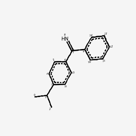 CC(C)c1ccc(C(=N)c2ccccc2)cc1